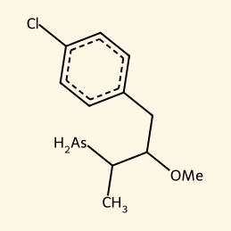 COC(Cc1ccc(Cl)cc1)C(C)[AsH2]